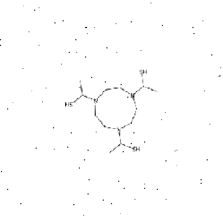 CC(S)N1CCN(C(C)S)CCN(C(C)S)CC1